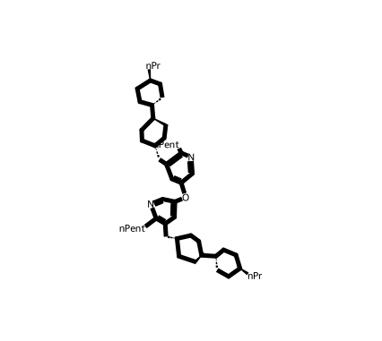 CCCCCc1ncc(Oc2cnc(CCCCC)c(C[C@H]3CC[C@H]([C@H]4CC[C@H](CCC)CC4)CC3)c2)cc1C[C@H]1CC[C@H]([C@H]2CC[C@H](CCC)CC2)CC1